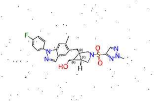 Cc1cc2c(cnn2-c2ccc(F)cc2)cc1C[C@@]12CN(S(=O)(=O)c3cnn(C)n3)C[C@@H]1[C@H]2CO